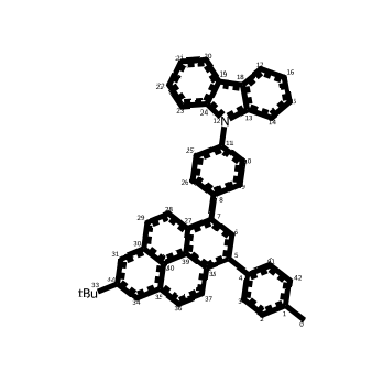 Cc1ccc(-c2cc(-c3ccc(-n4c5ccccc5c5ccccc54)cc3)c3ccc4cc(C(C)(C)C)cc5ccc2c3c54)cc1